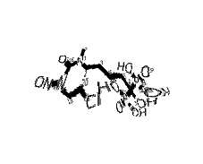 CN(CCCCC(O)(P(=O)(O)O)P(=O)(O)O)C(=O)N(CCCl)N=O